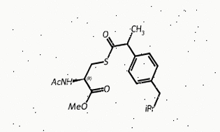 COC(=O)[C@H](CSC(=O)C(C)c1ccc(CC(C)C)cc1)NC(C)=O